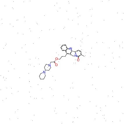 Cc1ccc2n(c1=O)Cc1c-2nc2ccccc2c1CCCOC(=O)CN1CCC(N2CCCCC2)CC1